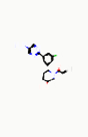 C=CC(=O)N1C[C@@](C)(O)CC[C@@H]1c1cc(Cl)cc(-c2ncc(N)cn2)c1